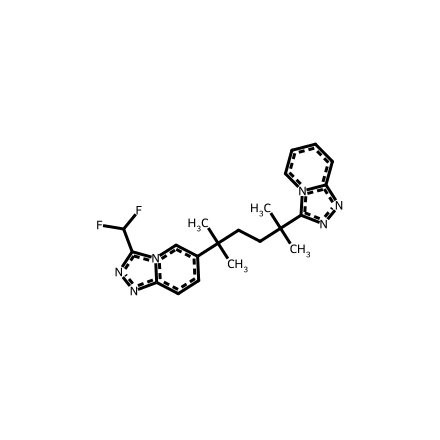 CC(C)(CCC(C)(C)c1nnc2ccccn12)c1ccc2nnc(C(F)F)n2c1